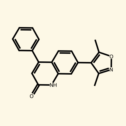 Cc1noc(C)c1-c1ccc2c(-c3ccccc3)cc(=O)[nH]c2c1